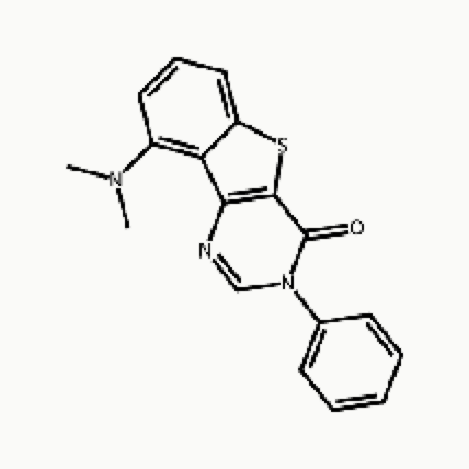 CN(C)c1cccc2sc3c(=O)n(-c4ccccc4)cnc3c12